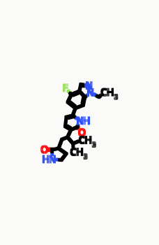 CCn1ncc2c(F)cc(-c3ccc(C(CC4CCNC4=O)C(C)C)c(=O)[nH]3)cc21